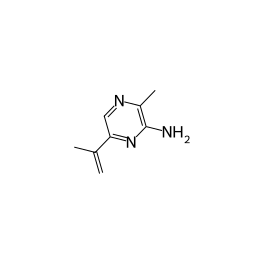 C=C(C)c1cnc(C)c(N)n1